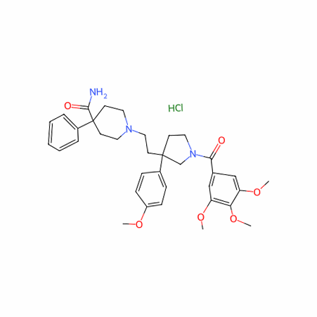 COc1ccc(C2(CCN3CCC(C(N)=O)(c4ccccc4)CC3)CCN(C(=O)c3cc(OC)c(OC)c(OC)c3)C2)cc1.Cl